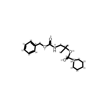 CC(C)(CNC(=O)OCc1ccccc1)OC(=O)N1CCCCC1